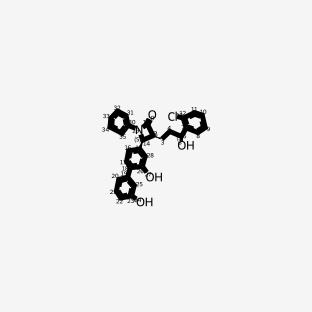 O=C1[C@H](CC[C@H](O)c2ccccc2Cl)[C@@H](c2ccc(-c3cccc(O)c3)c(O)c2)N1c1ccccc1